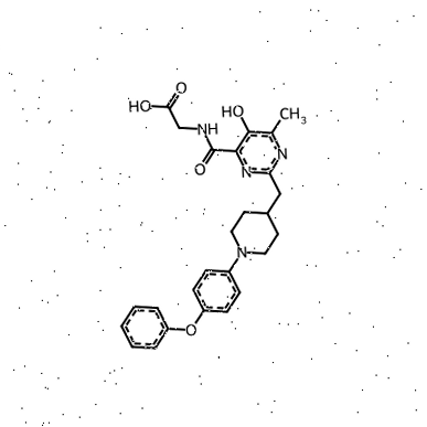 Cc1nc(CC2CCN(c3ccc(Oc4ccccc4)cc3)CC2)nc(C(=O)NCC(=O)O)c1O